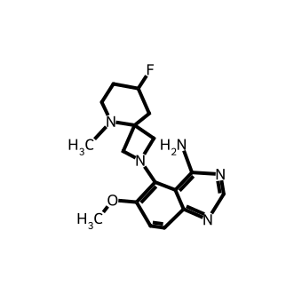 COc1ccc2ncnc(N)c2c1N1CC2(CC(F)CCN2C)C1